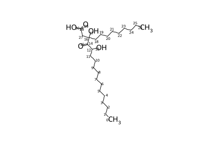 CCCCCCCCCCCCC(O)C(=O)C(O)(CCCCCCCCC)CC(=O)O